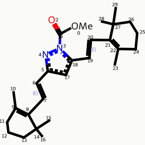 COC(=O)n1nc(/C=C/C2=C(C)CCCC2(C)C)cc1/C=C/C1=C(C)CCCC1(C)C